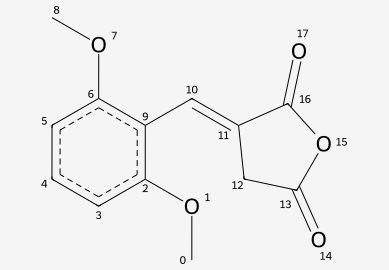 COc1cccc(OC)c1C=C1CC(=O)OC1=O